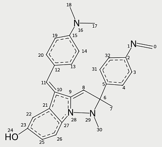 C=Nc1ccc(C2(C)C=c3/c(=C\c4ccc(N(C)C)cc4)c4cc(O)ccc4n3N2C)cc1